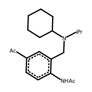 CC(=O)Nc1ccc(C(C)=O)cc1CN(C(C)C)C1CCCCC1